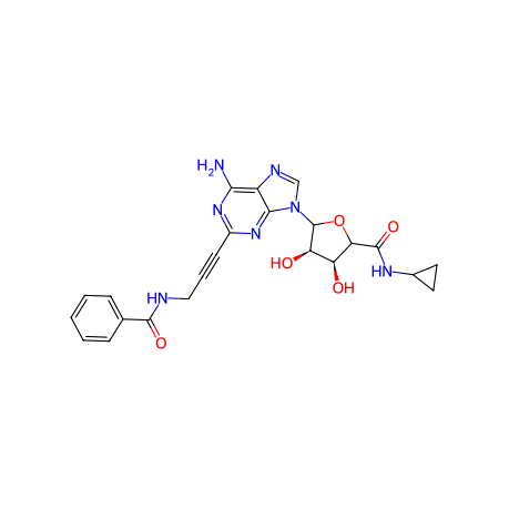 Nc1nc(C#CCNC(=O)c2ccccc2)nc2c1ncn2C1OC(C(=O)NC2CC2)[C@@H](O)[C@H]1O